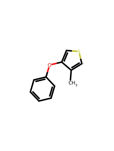 Cc1[c]scc1Oc1ccccc1